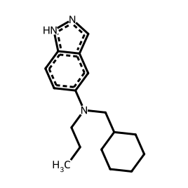 CCCN(CC1CCCCC1)c1ccc2[nH]ncc2c1